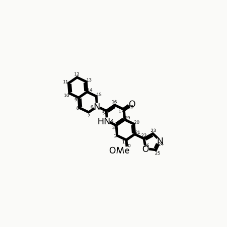 COC1Cc2[nH]c(N3CC=C4C=CCC=C4C3)cc(=O)c2C=C1c1cnco1